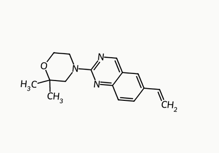 C=Cc1ccc2nc(N3CCOC(C)(C)C3)ncc2c1